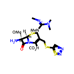 C/N=C(\NC)N(C)C.CO[C@@]1(N)C(=O)N2C(C(=O)O)=C(CSc3cnns3)CS[C@@H]21